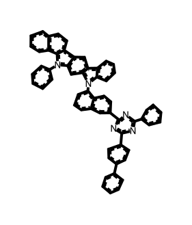 c1ccc(-c2ccc(-c3nc(-c4ccccc4)nc(-c4ccc5c(-n6c7ccccc7c7cc8c9ccc%10ccccc%10c9n(-c9ccccc9)c8cc76)cccc5c4)n3)cc2)cc1